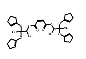 O=C(/C=C\C(=O)OC(O)C(O)(OC1=CCCC1)OC1=CCCC1)OC(O)C(O)(OC1=CCCC1)OC1=CCCC1